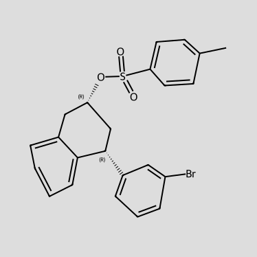 Cc1ccc(S(=O)(=O)O[C@H]2Cc3ccccc3[C@@H](c3cccc(Br)c3)C2)cc1